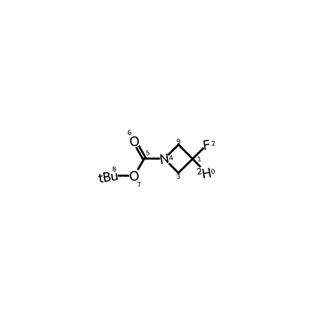 [2H]C1(F)CN(C(=O)OC(C)(C)C)C1